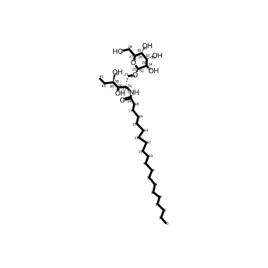 CCCCCCCCCCCCCCCCCCCC(=O)N[C@@H](CO[C@H]1OC(CO)[C@H](O)[C@H](O)C1O)C(O)[C@H](O)CC